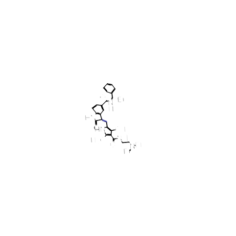 CC[C@H](NC(=O)c1ccc2c(c1)/C(=C/c1[nH]c(C)c(C(=O)NCCN(CC)CC)c1C)C(=O)N2)c1ccccc1